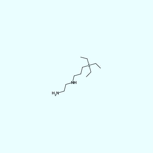 CCS(CC)(CC)CCCNCCN